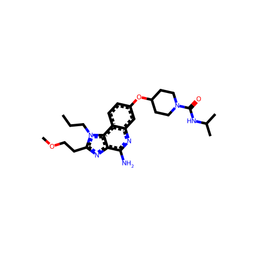 CCCn1c(CCOC)nc2c(N)nc3cc(OC4CCN(C(=O)NC(C)C)CC4)ccc3c21